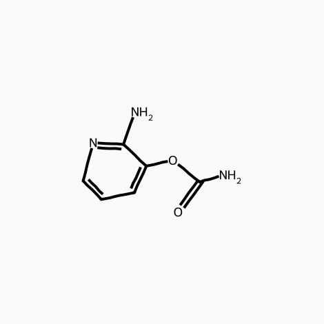 NC(=O)Oc1cccnc1N